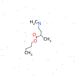 C=NCCC(C)C(=O)OCCCC